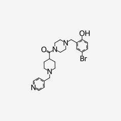 O=C(C1CCN(Cc2ccncc2)CC1)N1CCN(Cc2cc(Br)ccc2O)CC1